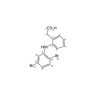 O=C(O)Cc1ccccc1Nc1cc(Br)ccc1Br